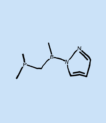 CB(CP(C)C)n1cccn1